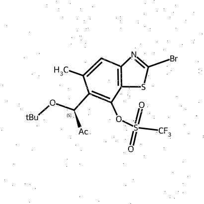 CC(=O)[C@@H](OC(C)(C)C)c1c(C)cc2nc(Br)sc2c1OS(=O)(=O)C(F)(F)F